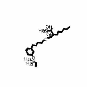 C=C[Si](O)(O)Oc1cccc(CCCCCC/C=C/C(C/C=C/CCC)C(C)[Si](O)(O)O)c1